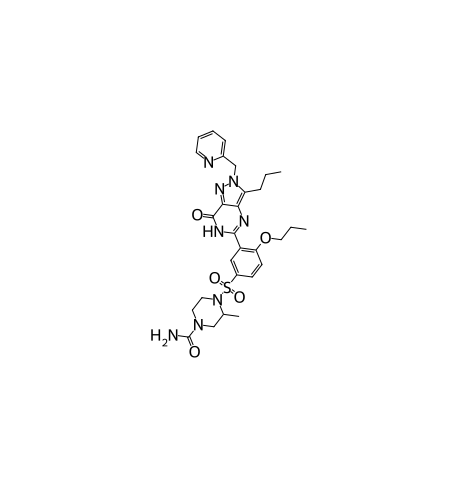 CCCOc1ccc(S(=O)(=O)N2CCN(C(N)=O)CC2C)cc1-c1nc2c(CCC)n(Cc3ccccn3)nc2c(=O)[nH]1